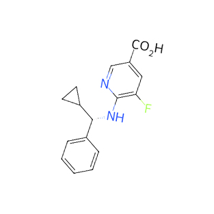 O=C(O)c1cnc(N[C@H](c2ccccc2)C2CC2)c(F)c1